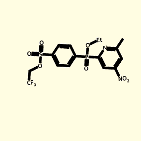 CCOP(=O)(c1ccc(S(=O)(=O)OCC(F)(F)F)cc1)c1cc([N+](=O)[O-])cc(C)n1